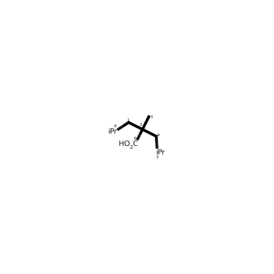 CC(C)CC(C)(CC(C)C)C(=O)O